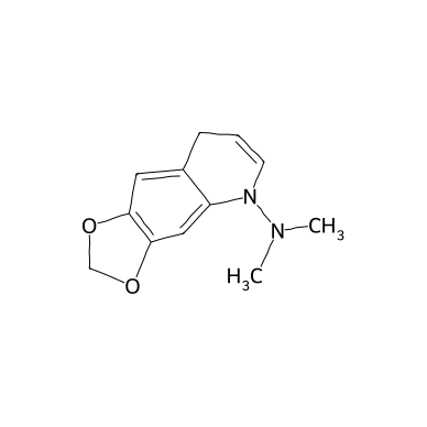 CN(C)N1C=CCc2cc3c(cc21)OCO3